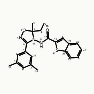 CCC1(C)ON=C(c2cc(C)cc(C)c2)N1NC(=O)c1cc2ccccc2s1